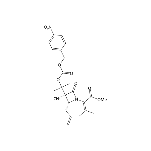 [C-]#[N+][C@]1(C(C)(C)OC(=O)OCc2ccc([N+](=O)[O-])cc2)C(=O)N(C(C(=O)OC)=C(C)C)[C@@H]1CC=C